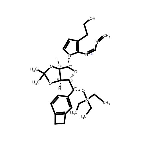 C=N/C=N\c1c(CCO)ccn1[C@@H]1O[C@H]([C@H](O[Si](CC)(CC)CC)c2ccc3c(c2)CC3)[C@H]2OC(C)(C)O[C@H]21